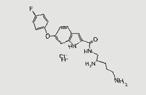 NCCC[C@H](N)CNC(=O)c1cc2ccc(Oc3ccc(F)cc3)cc2[nH]1.[Cl-].[H+]